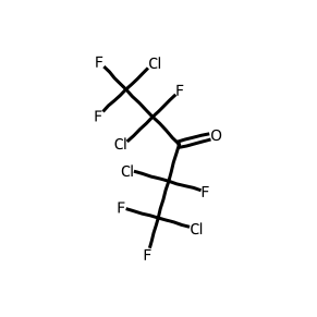 O=C(C(F)(Cl)C(F)(F)Cl)C(F)(Cl)C(F)(F)Cl